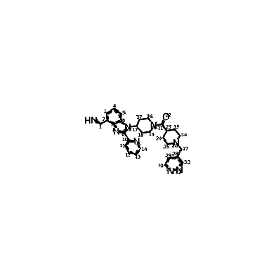 N=Cc1cccc2c1nc(-c1ccccn1)n2C1CCN(C(=O)C2CCN(Cc3ccnnc3)CC2)CC1